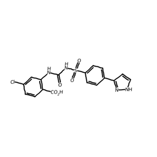 O=C(Nc1cc(Cl)ccc1C(=O)O)NS(=O)(=O)c1ccc(-c2cc[nH]n2)cc1